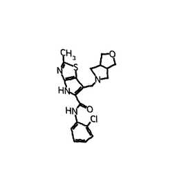 Cc1nc2[nH]c(C(=O)Nc3ccccc3Cl)c(CN3CC4COCC4C3)c2s1